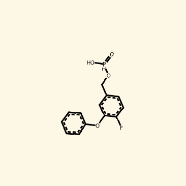 O=[PH](O)OCc1ccc(F)c(Oc2ccccc2)c1